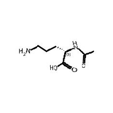 CC(=O)N[C@@H](CCCN)C(=O)O